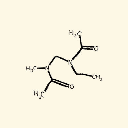 CCN(CN(C)C(C)=O)C(C)=O